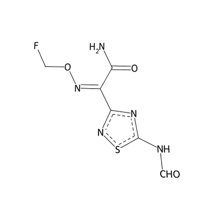 NC(=O)C(=NOCF)c1nsc(NC=O)n1